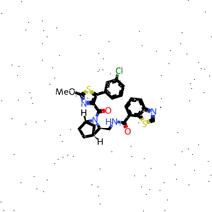 COc1nc(C(=O)N2[C@H]3CC[C@@H](C3)[C@@H]2CNC(=O)c2cccc3ncsc23)c(-c2cccc(Cl)c2)s1